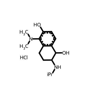 CC(C)NC1CCc2c(ccc(O)c2N(C)C)C1O.Cl